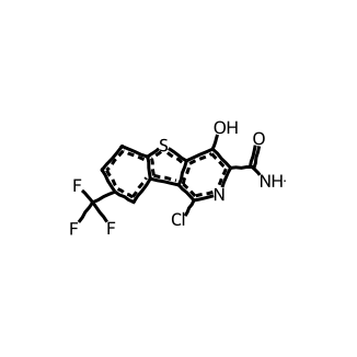 [NH]C(=O)c1nc(Cl)c2c(sc3ccc(C(F)(F)F)cc32)c1O